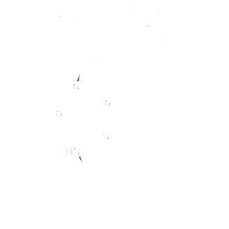 CC(=O)O[C@H]1C[C@H](n2cnc3c(N[C@H]4CCc5ccccc54)ncnc32)O[C@H]1CO[Si](C)(C)C(C)(C)C